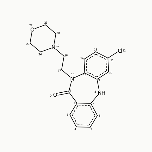 O=C1c2ccccc2Nc2cc(Cl)ccc2N1CCN1CCOCC1